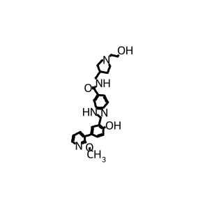 COc1ncccc1-c1ccc(O)c(-c2nc3ccc(C(=O)NCC4CCN(CCO)CC4)cc3[nH]2)c1